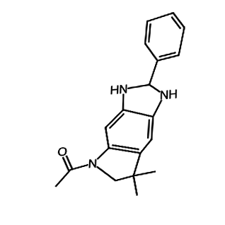 CC(=O)N1CC(C)(C)c2cc3c(cc21)NC(c1ccccc1)N3